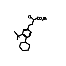 CCOC(=O)C(Cl)CCc1ccc(C2CCCCC2)c(N(C)C)c1